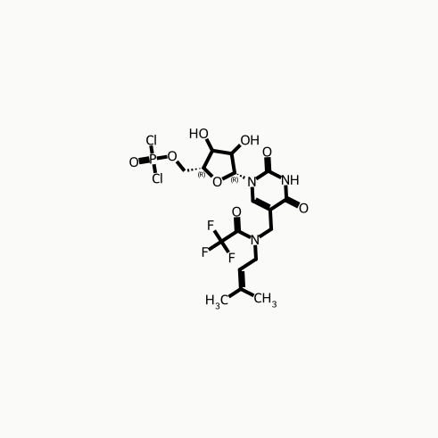 CC(C)=CCN(Cc1cn([C@@H]2O[C@H](COP(=O)(Cl)Cl)C(O)C2O)c(=O)[nH]c1=O)C(=O)C(F)(F)F